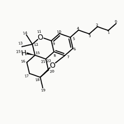 CCCCCc1cc2c3c(c1)OC(C)(C)[C@H]1CCC(C)(CC31)O2